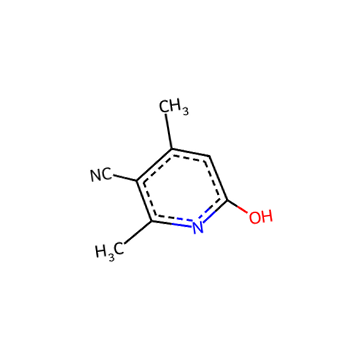 Cc1cc(O)nc(C)c1C#N